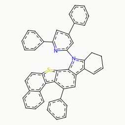 C1=Cc2c(n(-c3cc(-c4ccccc4)cc(-c4ccccc4)n3)c3c2cc(-c2ccccc2)c2c3sc3ccc4ccccc4c32)CC1